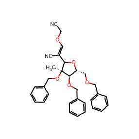 C[C@]1(OCc2ccccc2)C(/C(C#N)=C/OCC#N)O[C@H](COCc2ccccc2)[C@H]1OCc1ccccc1